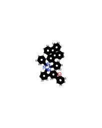 c1ccc(-c2nc(-c3ccccc3-c3ccc4oc5ccccc5c4c3)nc(-c3ccccc3-c3cccc4c3-c3ccccc3C43c4ccccc4-c4ccccc43)n2)cc1